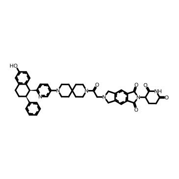 O=C1CCC(N2C(=O)c3cc4c(cc3C2=O)CN(CC(=O)N2CCC3(CC2)CCN(c2ccc([C@@H]5c6ccc(O)cc6CC[C@@H]5c5ccccc5)nc2)CC3)C4)C(=O)N1